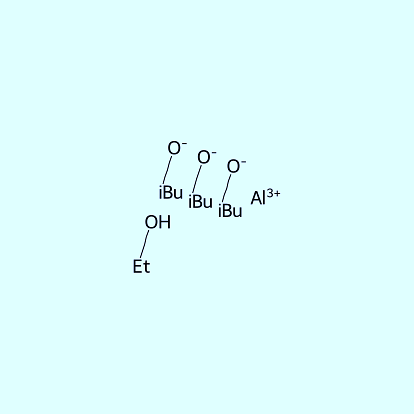 CCC(C)[O-].CCC(C)[O-].CCC(C)[O-].CCO.[Al+3]